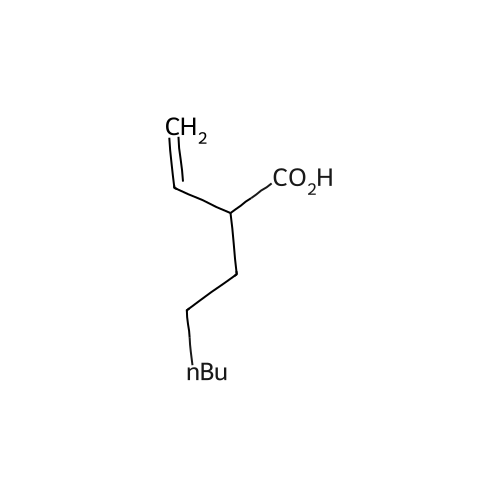 C=CC(CCCCCC)C(=O)O